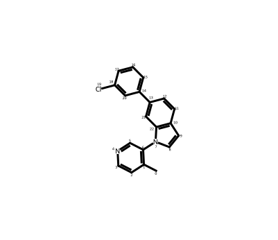 Cc1ccncc1-n1ccc2ccc(-c3cccc(Cl)c3)cc21